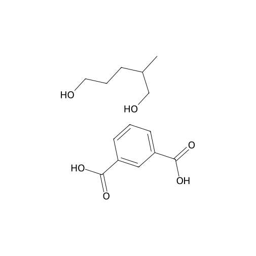 CC(CO)CCCO.O=C(O)c1cccc(C(=O)O)c1